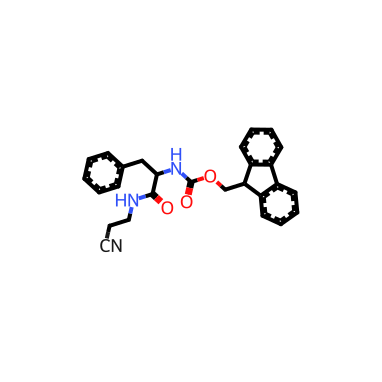 N#CCCNC(=O)C(Cc1ccccc1)NC(=O)OCC1c2ccccc2-c2ccccc21